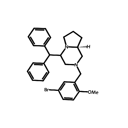 COc1ccc(Br)cc1CN1CC(C(c2ccccc2)c2ccccc2)N2CCC[C@H]2C1